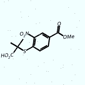 COC(=O)c1ccc(SC(C)(C)C(=O)O)c([N+](=O)[O-])c1